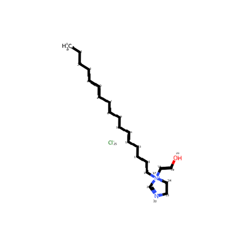 CCCCCCCCCCCCCCCCC[N+]1(CCO)C=NCC1.[Cl-]